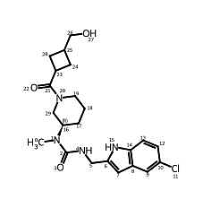 CN(C(=O)NCc1cc2cc(Cl)ccc2[nH]1)[C@@H]1CCCN(C(=O)C2CC(CO)C2)C1